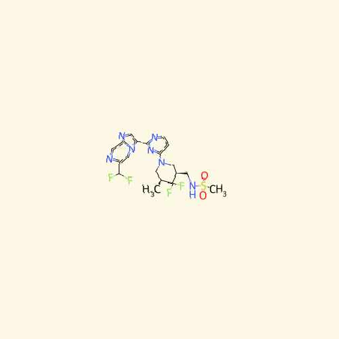 C[C@H]1CN(c2ccnc(-c3cnc4cnc(C(F)F)cn34)n2)C[C@@H](CNS(C)(=O)=O)C1(F)F